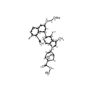 C#Cc1c(F)ccc2cc(OCOC)cc(-c3ncc4c(c(C)cn4C4=CC5CCC4CN5C(=O)OC(C)(C)C)c3F)c12